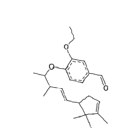 CCOc1cc(C=O)ccc1OC(C)C(C)C=CC1CC=C(C)C1(C)C